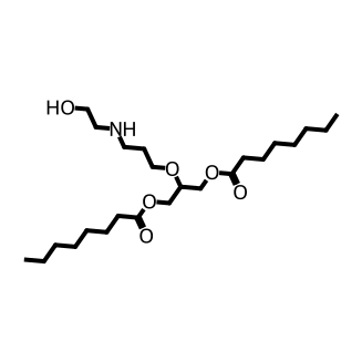 CCCCCCCC(=O)OCC(COC(=O)CCCCCCC)OCCCNCCO